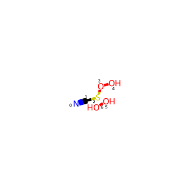 N#CSOO.OO